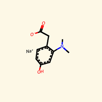 CN(C)c1cc(O)ccc1CC(=O)[O-].[Na+]